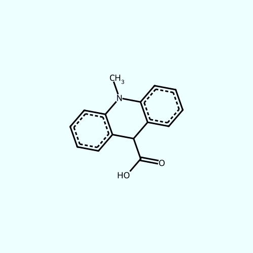 CN1c2ccccc2C(C(=O)O)c2ccccc21